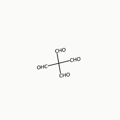 O=CC(C=O)(C=O)C=O